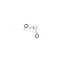 COC(=O)c1cccc2oc(N3CCN(Cc4ccc(OC)cc4OC)[C@H]4CCCC[C@@H]43)nc12